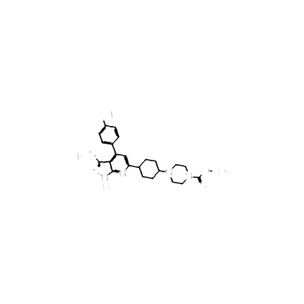 Cc1ccc(-c2cc(C3CCC(N4CCN(C(=O)OC(C)(C)C)CC4)CC3)nc3[nH]nc(N)c23)cc1